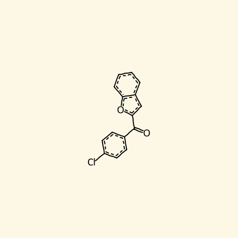 O=C(c1ccc(Cl)cc1)c1cc2ccccc2o1